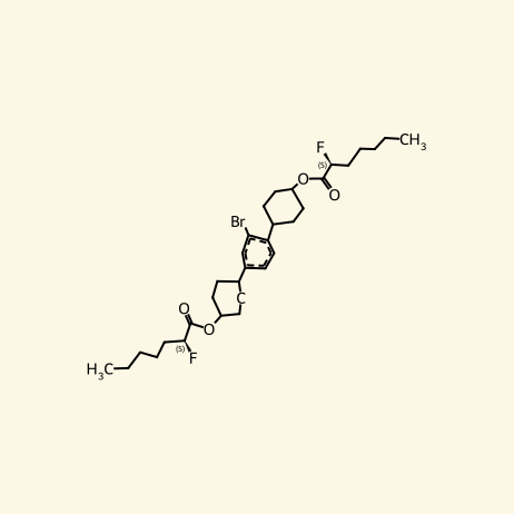 CCCCC[C@H](F)C(=O)OC1CCC(c2ccc(C3CCC(OC(=O)[C@@H](F)CCCCC)CC3)c(Br)c2)CC1